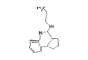 CCCNC1=Nc2ccccc2C2CCCC12